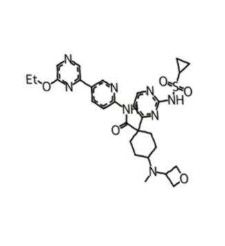 CCOc1cncc(-c2ccc(NC(=O)C3(c4ccnc(NS(=O)(=O)C5CC5)n4)CCC(N(C)C4COC4)CC3)nc2)n1